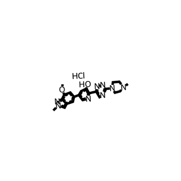 COc1cc(-c2cnc(-c3cnc(N4CCN(C)CC4)nn3)c(O)c2)cc2cn(C)nc12.Cl